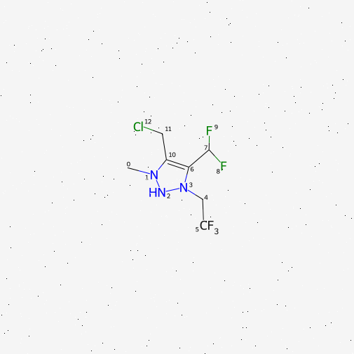 CN1NN(CC(F)(F)F)C(C(F)F)=C1CCl